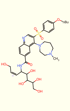 CCCCOc1ccc(S(=O)(=O)c2cnc3ccc(C(=O)NC(/C=C\CO)C(O)C(O)C(O)CO)cc3c2N2CCCN(C)CC2)cc1